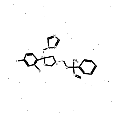 C=PC(P)(OC[C@@H]1CO[C@@](Cn2cncn2)(c2ccc(F)cc2F)C1)c1ccccc1